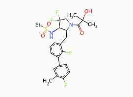 CCS(=O)(=O)N[C@@H]1[C@H](Cc2cccc(-c3ccc(F)c(C)c3)c2F)N(C(=O)C(C)(C)O)CC1(F)F